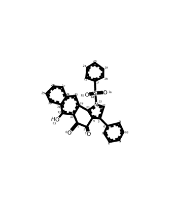 O=C1C(=O)c2c(-c3ccccc3)cn(S(=O)(=O)c3ccccc3)c2-c2cc3ccccc3c(O)c21